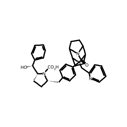 O=C(c1ccc(C[C@@H]2CC[C@H]([C@H](O)c3ccccc3)N2C(=O)O)cc1)N1C2CCC1C1CCC2N1Cc1ccccn1